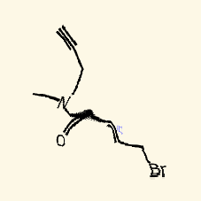 C#CCN(C)C(=O)/C=C/CBr